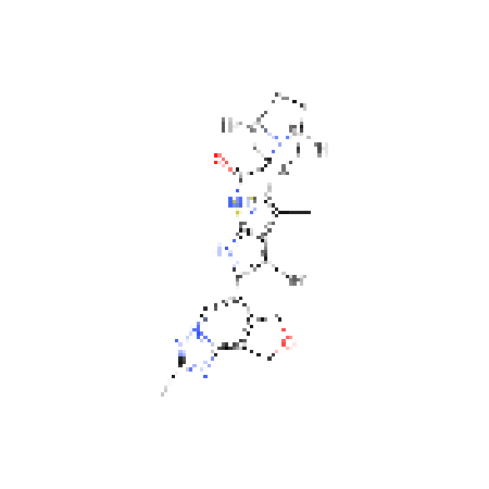 Cc1nc2c3c(c(-c4[nH]c5sc([C@@H]6C[C@H]7CC[C@@H](C6)N7CC(N)=O)c(C)c5c4C(C)C)cn2n1)COC3